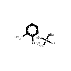 CCCC[N+](CCCC)(CCCC)CCCC.O=C(O)c1ccccc1C(=O)O